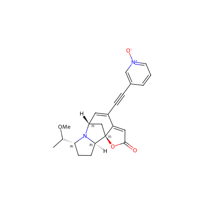 COC(C)[C@H]1CC[C@H]2N1[C@@H]1C=C(C#Cc3ccc[n+]([O-])c3)C3=CC(=O)O[C@@]32C1